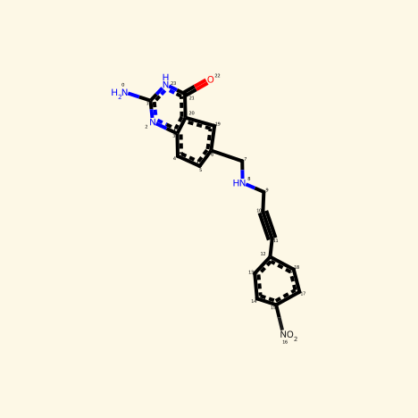 Nc1nc2ccc(CNCC#Cc3ccc([N+](=O)[O-])cc3)cc2c(=O)[nH]1